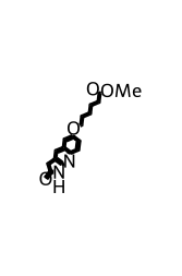 COC(=O)CCCCCOc1ccc2nc3c(cc2c1)CC(=O)N3